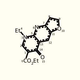 CCOC(=O)c1cn(CC)c2nc3ccoc3cc2c1=O